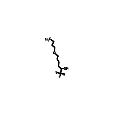 CCCCOCCCCC(O)C(F)(F)F